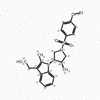 CCOc1ccc(S(=O)(=O)N2C[C@@H](C)[C@@H](n3c(C)c(CC(=O)O)c4ccccc43)C2)cc1